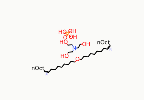 CCCCCCCC/C=C\CCCCCCCCOCCCCCCCC/C=C\CCCCCCCC.O=P(O)(O)O.OCCN(CCO)CCO